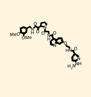 COc1ccc(CNC(=O)C(=O)C2CCCN2C(=O)CNC(=O)c2ccnc3cc(OCCNC(=O)c4ccc(NN)nc4)ccc23)cc1OC